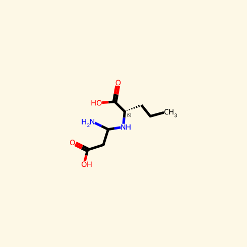 CCC[C@H](NC(N)CC(=O)O)C(=O)O